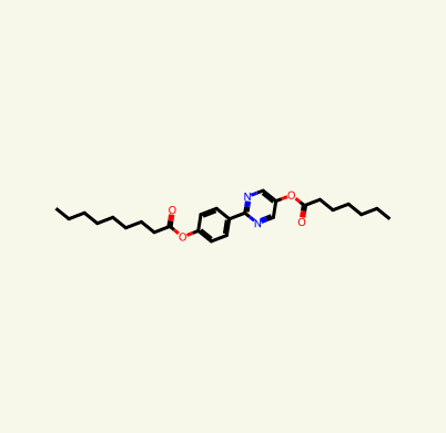 CCCCCCCCC(=O)Oc1ccc(-c2ncc(OC(=O)CCCCCC)cn2)cc1